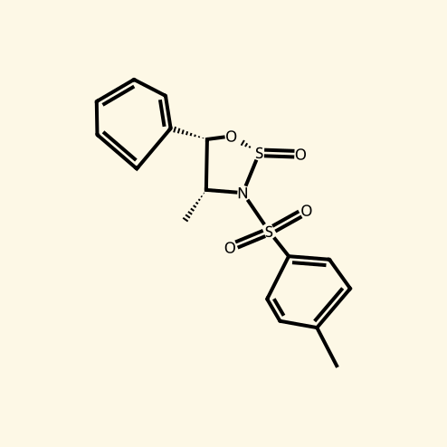 Cc1ccc(S(=O)(=O)N2[C@H](C)[C@H](c3ccccc3)O[S@@]2=O)cc1